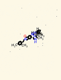 Cc1ccc(CCN2Cc3ccc(N=C(N[C@H]4C[C@@H]5C[C@@H]([C@H]4C)C5(C)C)N4CCN[C@@H](C)C4)cc3C2=O)c(C)c1